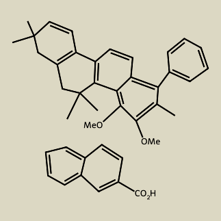 COc1c(C)c(-c2ccccc2)c2ccc3c(c2c1OC)C(C)(C)CC1=C3C=CC(C)(C)C1.O=C(O)c1ccc2ccccc2c1